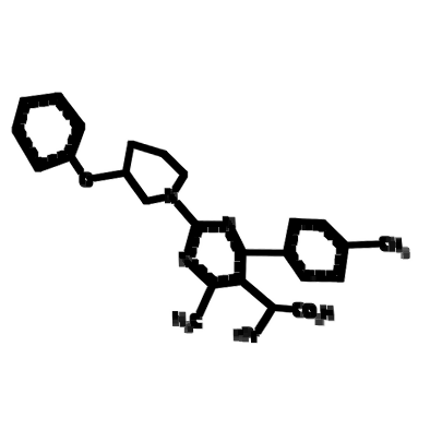 CCCC(C(=O)O)c1c(C)nc(N2CCCC(Oc3ccccc3)C2)nc1-c1ccc(C)cc1